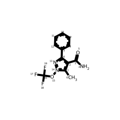 Cc1c(C(N)=O)c(-c2ccccc2)nn1OC(F)(F)F